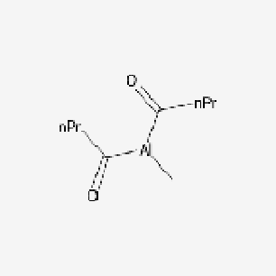 CCC[C](=O)[Al]([CH3])[C](=O)CCC